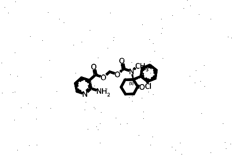 CN(C(=O)OCOC(=O)c1cccnc1N)[C@]1(c2ccccc2Cl)CCCCC1=O